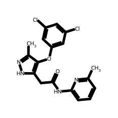 Cc1cccc(NC(=O)Cc2[nH]nc(C)c2Oc2cc(Cl)cc(Cl)c2)n1